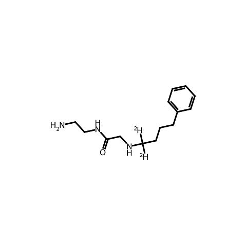 [2H]C([2H])(CCCc1ccccc1)NCC(=O)NCCN